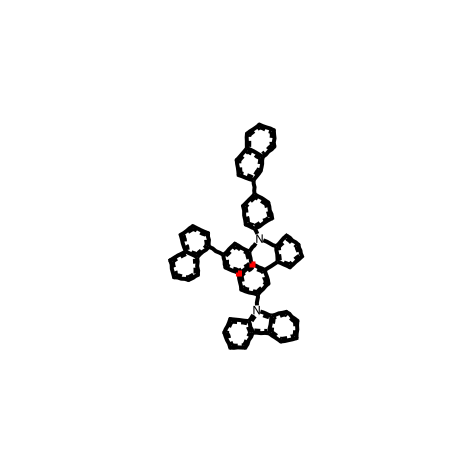 c1cc(-c2cccc3ccccc23)cc(N(c2ccc(-c3ccc4ccccc4c3)cc2)c2ccccc2-c2cccc(-n3c4ccccc4c4ccccc43)c2)c1